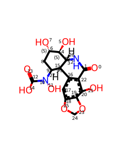 O=C1N[C@H]2[C@H](O)[C@@H](O)CC(N(O)C(=O)O)[C@@H]2c2cc3c(c(O)c21)OCO3